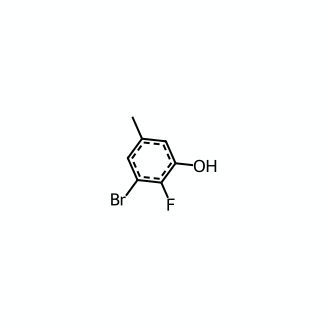 Cc1cc(O)c(F)c(Br)c1